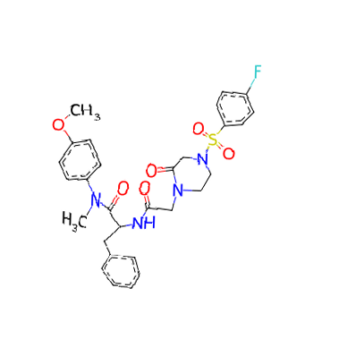 COc1ccc(N(C)C(=O)C(Cc2ccccc2)NC(=O)CN2CCN(S(=O)(=O)c3ccc(F)cc3)CC2=O)cc1